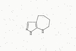 c1n[nH]c2c1CCCCN2